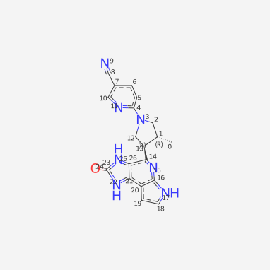 C[C@H]1CN(c2ccc(C#N)cn2)C[C@@H]1c1nc2[nH]ccc2c2[nH]c(=O)[nH]c12